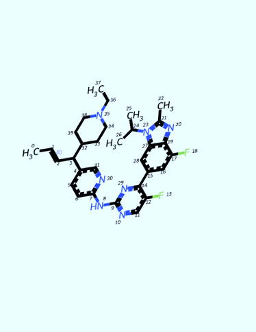 C/C=C/C(c1ccc(Nc2ncc(F)c(-c3cc(F)c4nc(C)n(C(C)C)c4c3)n2)nc1)C1CCN(CC)CC1